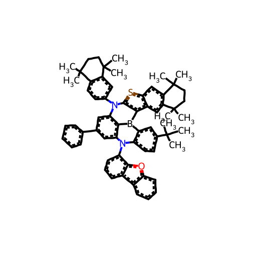 CC(C)(C)c1ccc2c(c1)B1c3c(cc(-c4ccccc4)cc3N2c2cccc3c2oc2ccccc23)N(c2ccc3c(c2)C(C)(C)CCC3(C)C)c2sc3cc4c(cc3c21)C(C)(C)CCC4(C)C